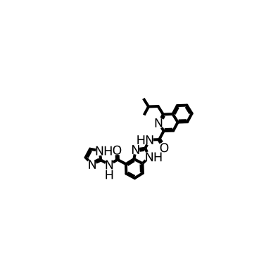 CC(C)Cc1nc(C(=O)Nc2nc3c(C(=O)Nc4ncc[nH]4)cccc3[nH]2)cc2ccccc12